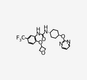 O=C(Nc1cc(C(F)(F)F)ccc1OC1COC1)N[C@H]1CC[C@H](Oc2ncccn2)CC1